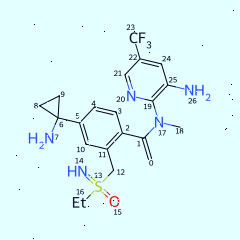 C=C(c1ccc(C2(N)CC2)cc1CS(=N)(=O)CC)N(C)c1ncc(C(F)(F)F)cc1N